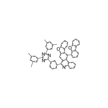 Cc1cc(C)cc(-c2nc(-c3cc(C)cc(C)c3)nc(-c3cccc(-c4nc5ccccc5c5c(-c6cccc7c6oc6ccccc67)c6c(cc45)oc4ccccc46)c3)n2)c1